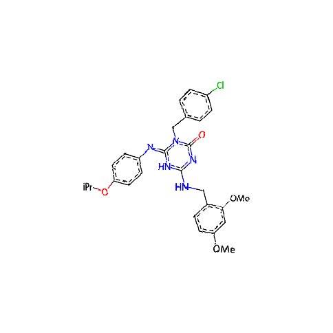 COc1ccc(CNc2nc(=O)n(Cc3ccc(Cl)cc3)/c(=N/c3ccc(OC(C)C)cc3)[nH]2)c(OC)c1